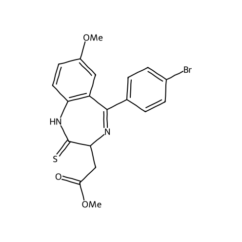 COC(=O)CC1N=C(c2ccc(Br)cc2)c2cc(OC)ccc2NC1=S